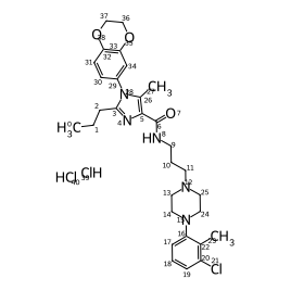 CCCc1nc(C(=O)NCCCN2CCN(c3cccc(Cl)c3C)CC2)c(C)n1-c1ccc2c(c1)OCCO2.Cl.Cl